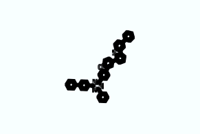 c1ccc(-c2ccc(-c3nc(-c4ccccc4)nc(-c4ccc5c(c4)oc4ccc(-c6cccc7c6sc6ccc(-c8ccccc8)cc67)cc45)n3)cc2)cc1